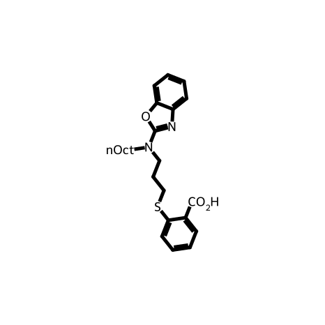 CCCCCCCCN(CCCSc1ccccc1C(=O)O)c1nc2ccccc2o1